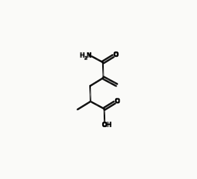 C=C(CC(C)C(=O)O)C(N)=O